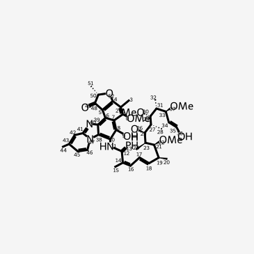 COc1c(C)c2c(c3c1c(O)c(NC(=P)/C(C)=C\C=C\[C@H](C)[C@H](OC)[C@@H](C)[C@@H](O)[C@@H](C)[C@H](OC)[C@H](C)[C@H](/C=C/O)OC)c1c3nc3cc(C)ccn31)C(=O)[C@H](C)O2